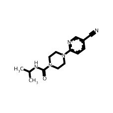 CC(C)NC(=O)N1CCN(c2ccc(C#N)cn2)CC1